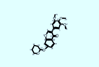 COc1cc(-c2coc3cc(OC4CCCCO4)ccc3c2=O)cc(OC)c1OC